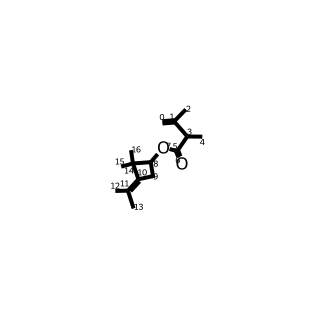 C=C(C)C(C)C(=O)OC1CC(=C(C)C)C1(C)C